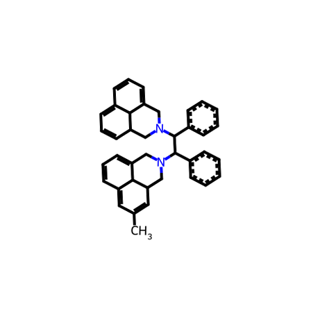 CC1=CC2CN(C(c3ccccc3)C(c3ccccc3)N3CC4=CC=CC5=CC=CC(C3)C54)CC3=CC=CC(=C1)C32